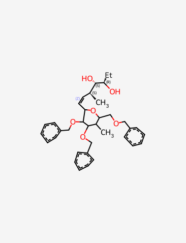 CC[C@@H](O)[C@@H](O)[C@@H](C)/C=C\C1OC(COCc2ccccc2)C(C)C(OCc2ccccc2)C1OCc1ccccc1